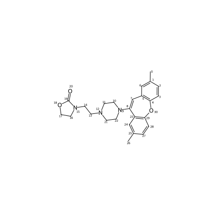 Cc1ccc2c(c1)C=C(N1CCN(CCN3CCOC3=O)CC1)c1cc(C)ccc1O2